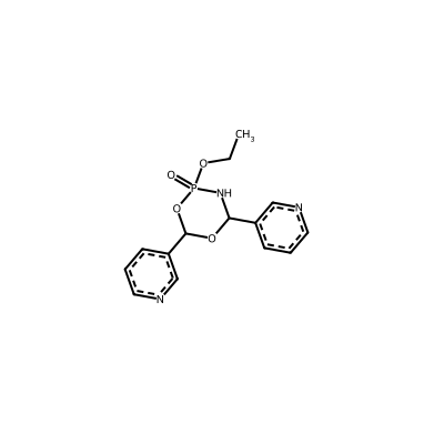 CCOP1(=O)NC(c2cccnc2)OC(c2cccnc2)O1